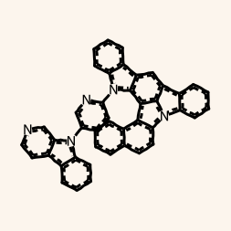 c1ccc2c(c1)ccc1c2c2c3c(cc4c5ccccc5n1c42)c1ccccc1n3-c1ccc(-n2c3ccccc3c3ccncc32)cn1